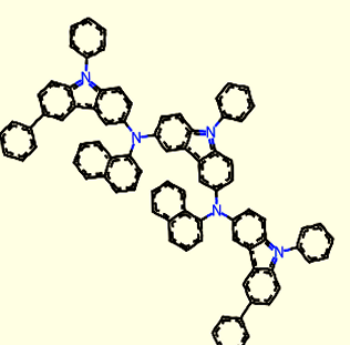 c1ccc(-c2ccc3c(c2)c2cc(N(c4ccc5c(c4)c4cc(N(c6ccc7c(c6)c6cc(-c8ccccc8)ccc6n7-c6ccccc6)c6cccc7ccccc67)ccc4n5-c4ccccc4)c4cccc5ccccc45)ccc2n3-c2ccccc2)cc1